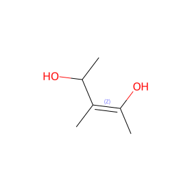 C/C(O)=C(\C)C(C)O